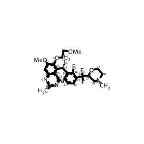 COCCOc1c(OC)cc2nc(C)nc(N)c2c1[C@@H](C)c1cccc(C(F)(F)C2CN(C)CCO2)c1F